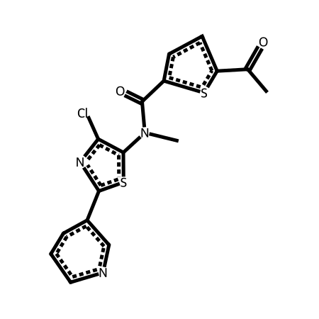 CC(=O)c1ccc(C(=O)N(C)c2sc(-c3cccnc3)nc2Cl)s1